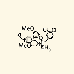 COc1cccc([C@@]23CCN(CC4CC4)C[C@@]2(OC)CC[C@H](N(C)C(=O)Cc2ccc(Cl)c(Cl)c2)C3)c1